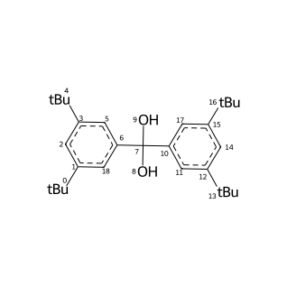 CC(C)(C)c1cc(C(C)(C)C)cc(C(O)(O)c2cc(C(C)(C)C)cc(C(C)(C)C)c2)c1